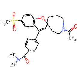 CCN(CC)C(=O)c1ccc(C2=CC3(CCCN(C(=O)C(F)(F)F)CC3)Oc3ccc(S(C)(=O)=O)cc32)cc1